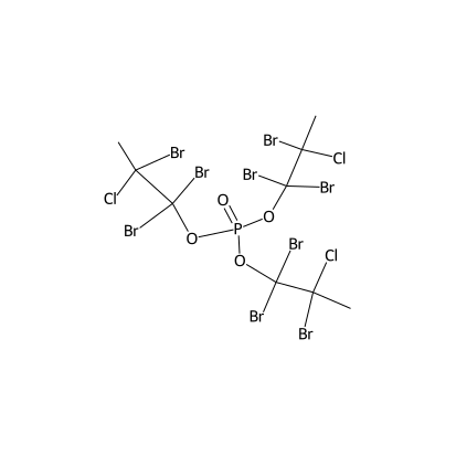 CC(Cl)(Br)C(Br)(Br)OP(=O)(OC(Br)(Br)C(C)(Cl)Br)OC(Br)(Br)C(C)(Cl)Br